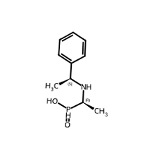 C[C@H](N[C@@H](C)[PH](=O)O)c1ccccc1